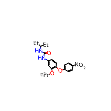 CCCOc1cc(NC(=O)NC(CC)CC)ccc1Oc1ccc([N+](=O)[O-])cc1